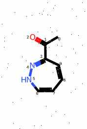 CC(=O)C1=NNC=CC=C1